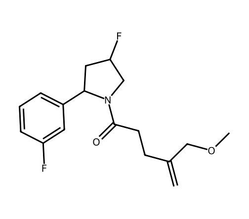 C=C(CCC(=O)N1CC(F)CC1c1cccc(F)c1)COC